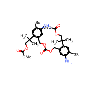 COC(=O)OCC(C)(C)c1cc(C(C)(C)C)c(N)cc1COC(=O)OCc1cc(N)c(C(C)(C)C)cc1C(C)(C)COC(=O)OC